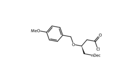 CCCCCCCCCCC[C@H](CC(=O)Cl)OCc1ccc(OC)cc1